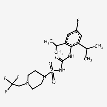 CC(C)c1cc(F)cc(C(C)C)c1NC(=O)NS(=O)(=O)N1CCN(CC(F)(F)F)CC1